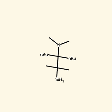 CCCCC(CCCC)(N(C)C)C(C)(C)[SiH3]